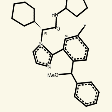 COC(c1ccccc1)c1ccc(F)c(F)c1-c1nccn1[C@@H](C(=O)NC1CCCC1)C1CCCCC1